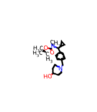 CN(C(=O)OC(C)(C)C)C(c1ccc(CN2CCC(O)CC2)cc1)C1CC1